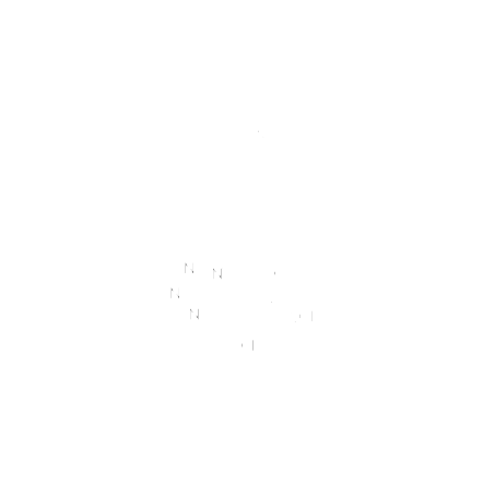 CCCCCCn1nnnc1C(C)C(=O)O